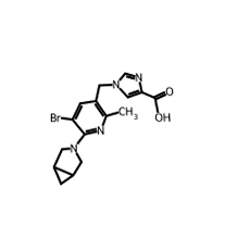 Cc1nc(N2CC3CC3C2)c(Br)cc1Cn1cnc(C(=O)O)c1